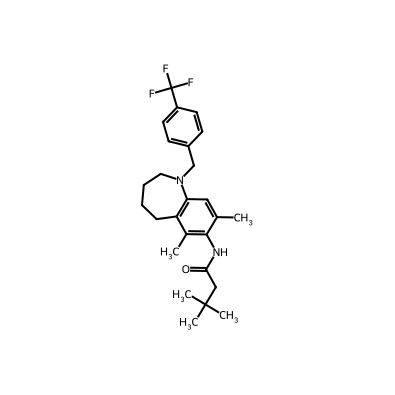 Cc1cc2c(c(C)c1NC(=O)CC(C)(C)C)CCCCN2Cc1ccc(C(F)(F)F)cc1